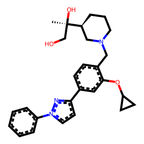 C[C@@](O)(CO)[C@H]1CCCN(Cc2ccc(-c3ccn(-c4ccccc4)n3)cc2OC2CC2)C1